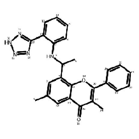 Cc1cc(C(C)Nc2ccccc2-c2nn[nH]n2)c2oc(-c3ccccc3)c(C)c(=O)c2c1